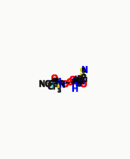 Cc1ncsc1-c1ccc(CNC(=O)C2CCCN2C(=O)C(NC(=O)COCCOc2ccc(N3C(=S)N(c4ccc(C#N)c(C(F)(F)F)c4F)C(=O)C3(C)C)cn2)C(C)(C)C)cc1